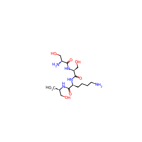 NCCCC[C@H](NC(=O)[C@H](CO)NC(=O)[C@@H](N)CO)C(=O)N[C@@H](CO)C(=O)O